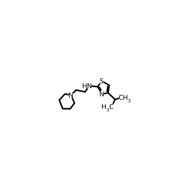 CC(C)c1csc(NCCN2CCCCC2)n1